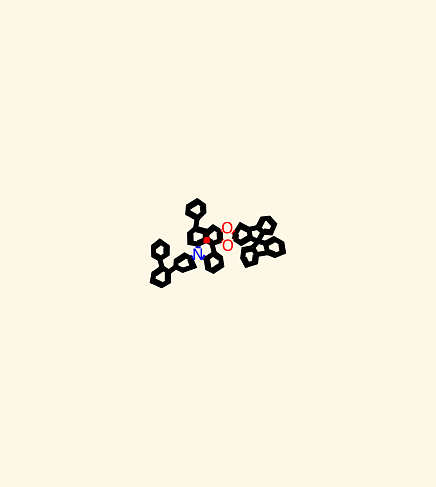 C1=CC(c2ccccc2-c2ccccc2)CC=C1N(c1ccc(-c2ccccc2)cc1)c1ccccc1-c1cccc2c1Oc1cc3c(cc1O2)-c1ccccc1C31c2ccccc2-c2ccccc21